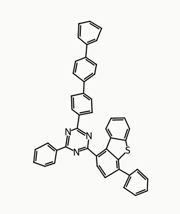 c1ccc(-c2ccc(-c3ccc(-c4nc(-c5ccccc5)nc(-c5ccc(-c6ccccc6)c6sc7ccccc7c56)n4)cc3)cc2)cc1